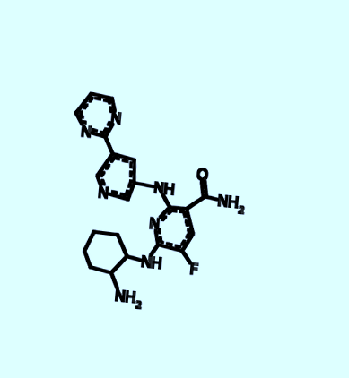 NC(=O)c1cc(F)c(NC2CCCCC2N)nc1Nc1cncc(-c2ncccn2)c1